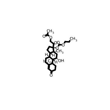 CCCOC(=O)O[C@]1(C(=O)COC(C)=O)CC[C@H]2[C@@H]3CCC4=CC(=O)CC[C@]4(C)[C@H]3[C@@H](O)C[C@@]21C